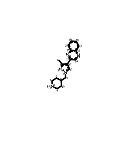 Cc1nn(CC2CCNCC2)cc1-c1cnc2ccccc2n1